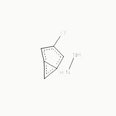 FC(F)(F)c1cc2cc-2c1.NN